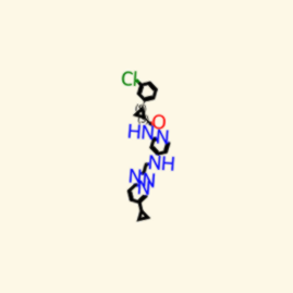 O=C(Nc1cc(NCc2nc3ccc(C4CC4)cn3n2)ccn1)[C@H]1C[C@@H]1c1cccc(Cl)c1